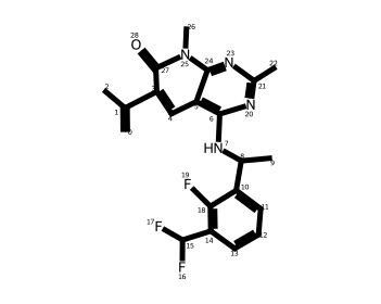 C=C(C)c1cc2c(NC(C)c3cccc(C(F)F)c3F)nc(C)nc2n(C)c1=O